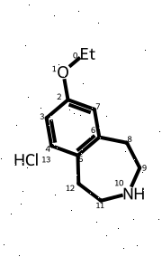 CCOc1ccc2c(c1)CCNCC2.Cl